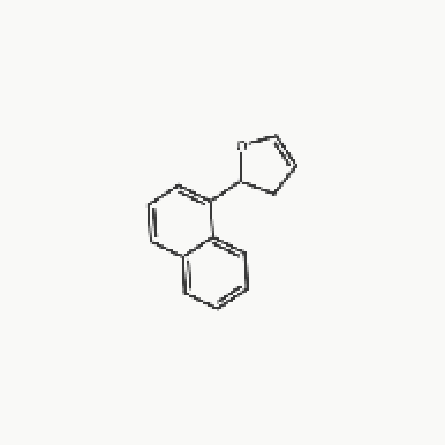 C1=COC(c2cccc3ccccc23)C1